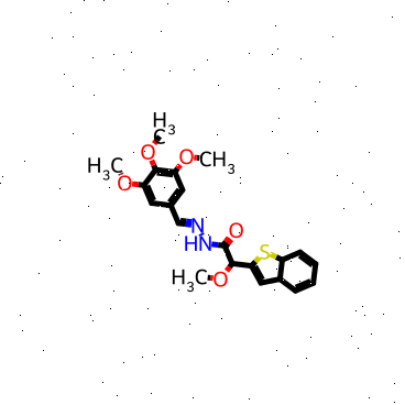 COc1cc(/C=N/NC(=O)C(OC)C2=CC3C=CC=CC3S2)cc(OC)c1OC